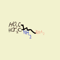 BCCCCC(N)(CC(=O)O)C(=O)O